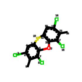 Cc1c(Cl)cc2c(c1Cl)Oc1c(cc(Cl)c(C)c1Cl)S2